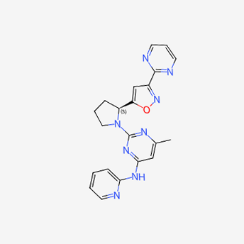 Cc1cc(Nc2ccccn2)nc(N2CCC[C@H]2c2cc(-c3ncccn3)no2)n1